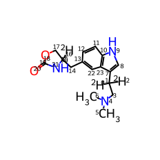 [2H]C([2H])(CN(C)C)c1c[nH]c2ccc(C[C@@]3([2H])COC(=O)N3)cc12